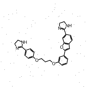 c1cc(OCCCOc2ccc(C3=NCCN3)cc2)cc(-c2cc3ccc(C4=NCCN4)cc3o2)c1